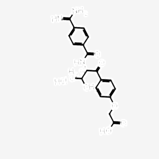 CC(C)[C@H](NC(=O)c1ccc(C(=N)N)cc1)C(=O)c1ccc(OCC(=O)O)cc1.Cl